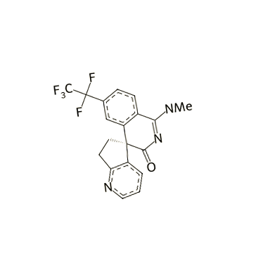 CNC1=NC(=O)[C@]2(CCc3ncccc32)c2cc(C(F)(F)C(F)(F)F)ccc21